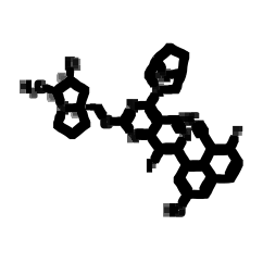 C#Cc1c(F)ccc2cc(O)cc(-c3ncc4c(N5CC6CCC(C5)N6)nc(OC[C@]56CCCN5[C@@H](C)[C@@H](CC)C6)nc4c3F)c12